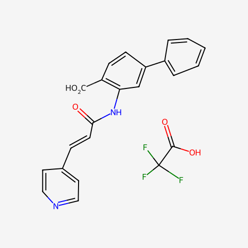 O=C(/C=C/c1ccncc1)Nc1cc(-c2ccccc2)ccc1C(=O)O.O=C(O)C(F)(F)F